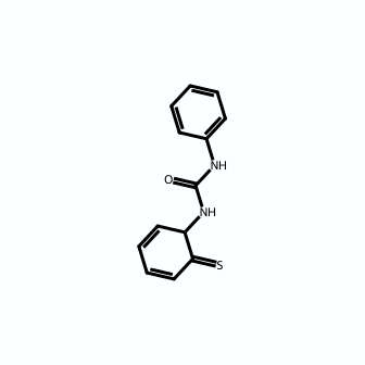 O=C(Nc1ccccc1)NC1C=CC=CC1=S